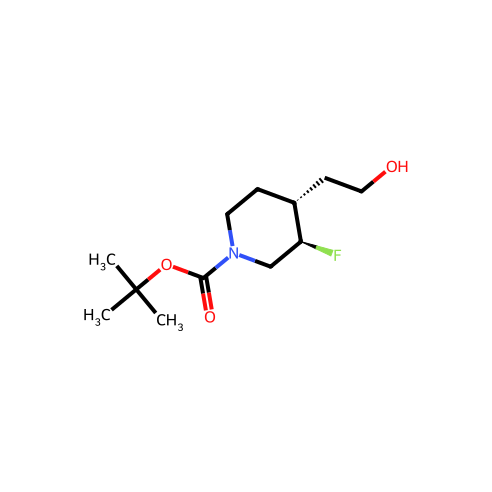 CC(C)(C)OC(=O)N1CC[C@H](CCO)[C@@H](F)C1